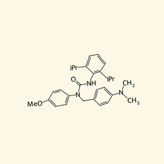 COc1ccc(N(Cc2ccc(N(C)C)cc2)C(=O)Nc2c(C(C)C)cccc2C(C)C)cc1